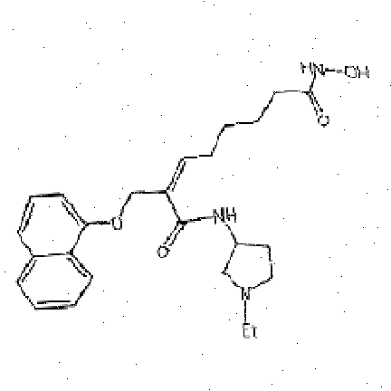 CCN1CCC(NC(=O)C(=CCCCCC(=O)NO)COc2cccc3ccccc23)C1